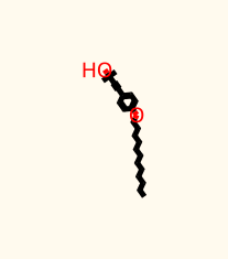 CCCCCCCCCCCCOc1ccc(C#CC(C)(C)O)cc1